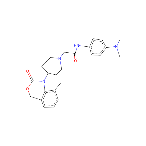 Cc1cccc2c1N(C1CCN(CC(=O)Nc3ccc(N(C)C)cc3)CC1)C(=O)OC2